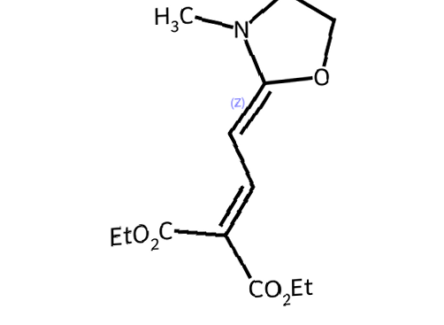 CCOC(=O)C(=C/C=C1\OCCN1C)C(=O)OCC